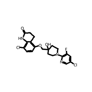 O=C1CCc2c(OCC3(O)CCN(c4ncc(Cl)cc4F)CC3)ccc(Cl)c2N1